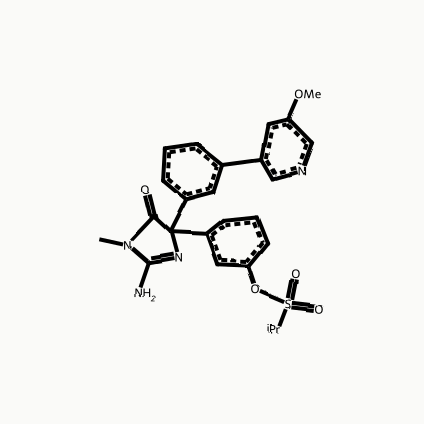 COc1cncc(-c2cccc(C3(c4cccc(OS(=O)(=O)C(C)C)c4)N=C(N)N(C)C3=O)c2)c1